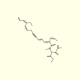 C=C/C=C(\C=C/CC#C/C=C/C=C(\C=C/C)C(=C)N(C)C(C(=C)CC)C(=C)NC)CC